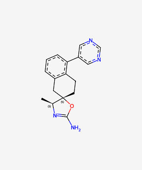 C[C@@H]1N=C(N)O[C@]12CCc1c(cccc1-c1cncnc1)C2